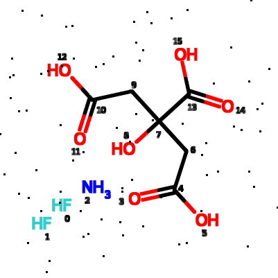 F.F.N.O=C(O)CC(O)(CC(=O)O)C(=O)O